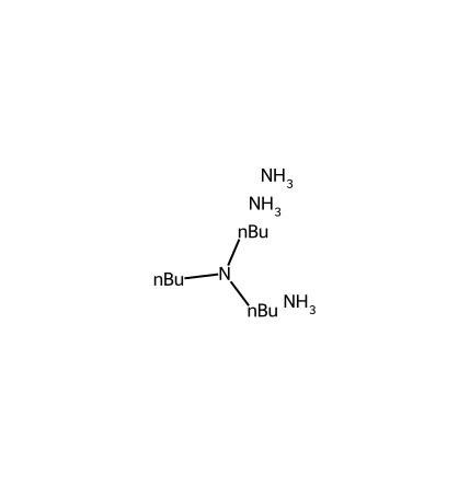 CCCCN(CCCC)CCCC.N.N.N